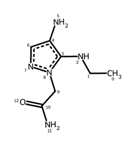 CCNc1c(N)cnn1CC(N)=O